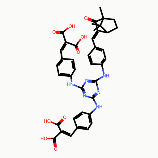 CC12CCC(/C(=C\c3ccc(Nc4nc(Nc5ccc(C=C(C(=O)O)C(=O)O)cc5)nc(Nc5ccc(C=C(C(=O)O)C(=O)O)cc5)n4)cc3)C1=O)C2(C)C